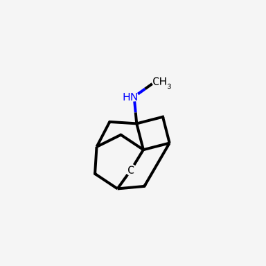 CNC12CC3CC4CC(C1)C2(C4)C3